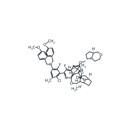 COc1ccc(CN(Cc2ccc(OC)cc2)c2cc(C)c(Cl)c(-c3nc4c5c(nc(OC[C@@H]6CC[C@H]7COCCN76)nc5c3F)N3C[C@H]5CC[C@@H]([C@H]3[C@H](C)O4)N5C(=O)OC(C)(C)C)c2F)cc1